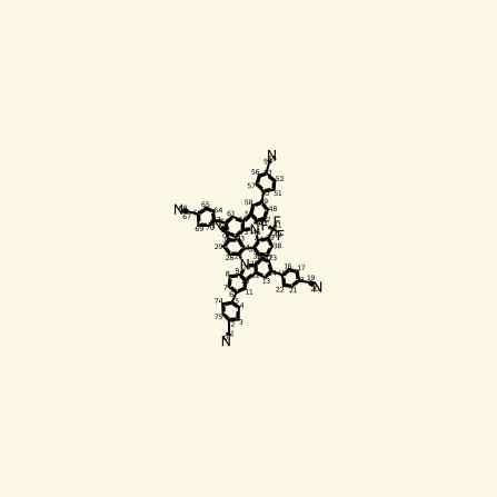 N#Cc1ccc(-c2ccc3c(c2)c2cc(-c4ccc(C#N)cc4)ccc2n3-c2ccc(C#N)cc2-c2cccc(C(F)(F)F)c2-n2c3ccc(-c4ccc(C#N)cc4)cc3c3cc(-c4ccc(C#N)cc4)ccc32)cc1